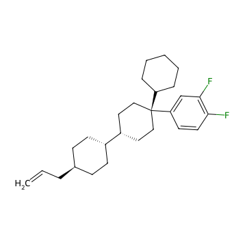 C=CC[C@H]1CC[C@H]([C@H]2CC[C@](c3ccc(F)c(F)c3)(C3CCCCC3)CC2)CC1